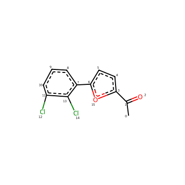 CC(=O)c1ccc(-c2cccc(Cl)c2Cl)o1